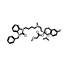 COCC(=O)O[C@]1(CCN(C)CCCCn2c(=O)n(Cc3ccccc3)c3ccccc32)CCc2cc(F)ccc2[C@@H]1C(C)C